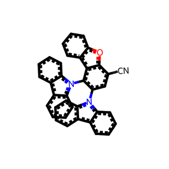 N#Cc1cc(-n2c3ccccc3c3ccccc32)c(-n2c3ccccc3c3ccccc32)c2c1oc1ccccc12